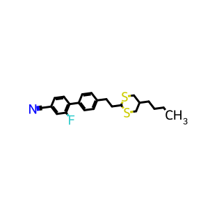 CCCCC1CSC(CCc2ccc(-c3ccc(C#N)cc3F)cc2)SC1